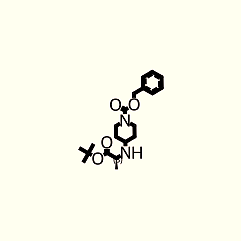 C[C@H](NC1CCN(C(=O)OCc2ccccc2)CC1)C(=O)OC(C)(C)C